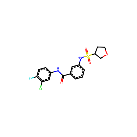 O=C(Nc1ccc(F)c(Cl)c1)c1cccc(NS(=O)(=O)C2CCOC2)c1